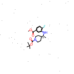 COC(=O)c1ccc(F)c(N[C@@H](C)C2CCN(C(=O)OC(C)(C)C)CC2)c1